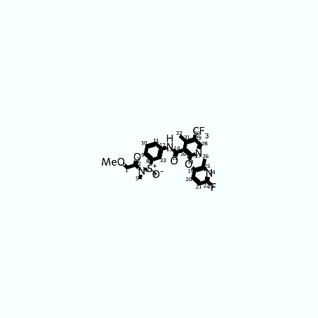 COCC(=O)N(C)[S@+]([O-])c1cccc(NC(=O)c2c(Oc3ccc(F)nc3C)ncc(C(F)(F)F)c2C)c1